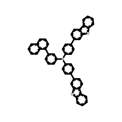 c1cc(-c2cccc3ccccc23)cc(N(c2ccc(-c3ccc4c(c3)oc3ccccc34)cc2)c2ccc(-c3ccc4c(c3)oc3ccccc34)cc2)c1